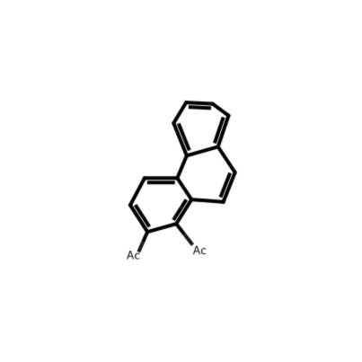 CC(=O)c1ccc2c(ccc3ccccc32)c1C(C)=O